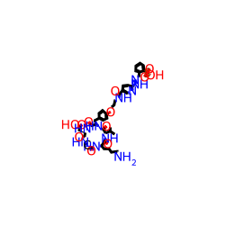 CC(C)C1NC(=O)C(CCCCN)NC(=O)CNC(=O)[C@@H](CC(=O)O)NC(=O)[C@@H](Cc2ccc(OCCCNC(=O)c3ccc(NN=Cc4ccccc4S(=O)(=O)O)nc3)cc2)NC1=O